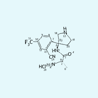 C[C@H](N)C(=O)N[C@]1(c2ccc(C(F)(F)F)cc2C#N)CCNC1.Cl